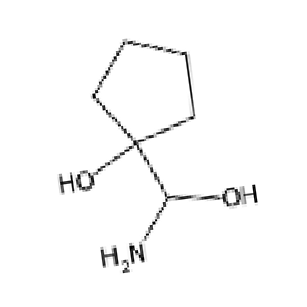 NC(O)C1(O)CCCC1